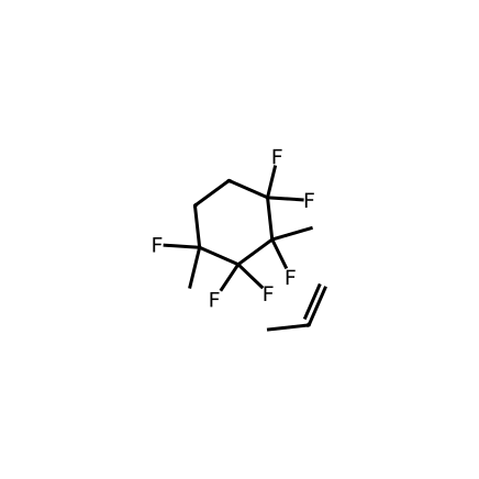 C=CC.CC1(F)CCC(F)(F)C(C)(F)C1(F)F